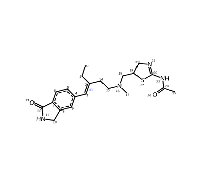 CC/C(=C\c1ccc2c(c1)CNC2=O)CCN(C)CC1CN=C(NC(C)=O)S1